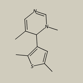 CC1=CN=CN(C)C1c1cc(C)sc1C